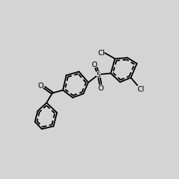 O=C(c1ccccc1)c1ccc(S(=O)(=O)c2cc(Cl)ccc2Cl)cc1